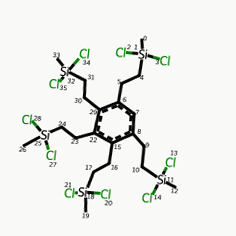 C[Si](Cl)(Cl)CCc1cc(CC[Si](C)(Cl)Cl)c(CC[Si](C)(Cl)Cl)c(CC[Si](C)(Cl)Cl)c1CC[Si](C)(Cl)Cl